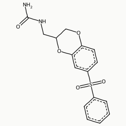 NC(=O)NCC1COc2ccc(S(=O)(=O)c3ccccc3)cc2O1